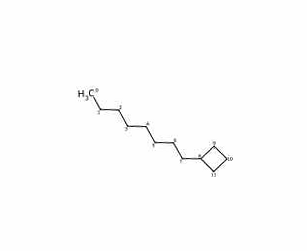 CCCCCCCCC1[CH]CC1